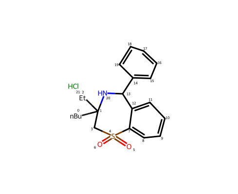 CCCCC1(CC)CS(=O)(=O)c2ccccc2C(c2ccccc2)N1.Cl